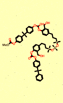 COC(=O)Oc1ccc(C(C)(C)c2ccc(OC(O)Oc3ccc(CCC[Si](C)(C)O[Si](C)(C)O[Si](C)(C)CCCc4ccc(OC(=O)Oc5ccc(C(C)(C)c6ccccc6)cc5)c(CO)c4)cc3CO)cc2)cc1